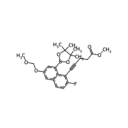 COCOc1cc(B2OC(C)(C)C(C)(C)O2)c2c(C#CCCC(=O)OC)c(F)ccc2c1